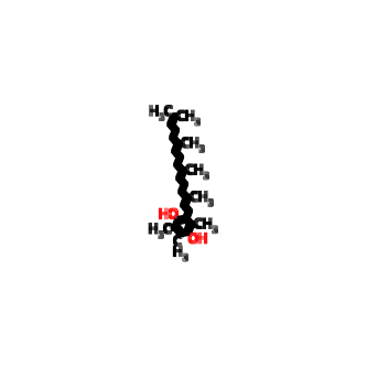 CC(C)=CCC/C(C)=C/CC/C(C)=C/CC/C(C)=C/Cc1c(C)c(O)c(C)c(C)c1O